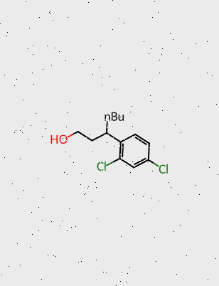 CCCCC(CCO)c1ccc(Cl)cc1Cl